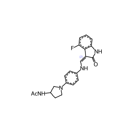 CC(=O)NC1CCN(c2ccc(N/C=C3\C(=O)Nc4cccc(F)c43)cc2)C1